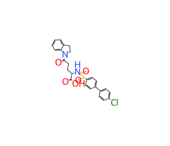 O=C(O)C(CCC(=O)N1CCc2ccccc21)NS(=O)(=O)c1ccc(-c2ccc(Cl)cc2)cc1